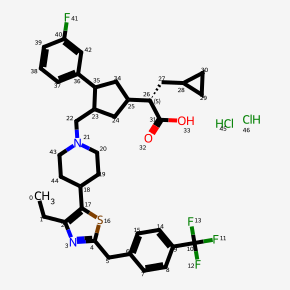 CCc1nc(Cc2ccc(C(F)(F)F)cc2)sc1C1CCN(CC2CC([C@H](CC3CC3)C(=O)O)CC2c2cccc(F)c2)CC1.Cl.Cl